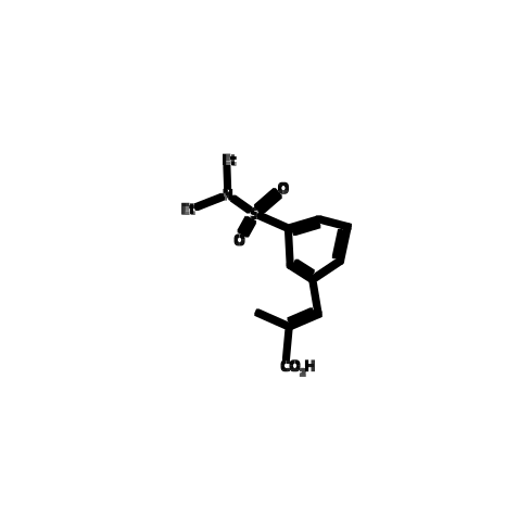 CCN(CC)S(=O)(=O)c1cccc(C=C(C)C(=O)O)c1